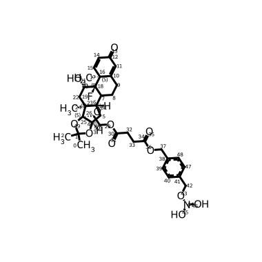 CC1(C)O[C@@H]2C[C@H]3C4CCC5=CC(=O)C=C[C@]5(C)[C@@]4(F)[C@@H](O)C[C@]3(C)[C@]2(C(=O)COC(=O)CCC(=O)OCc2ccc(CON(O)O)cc2)O1